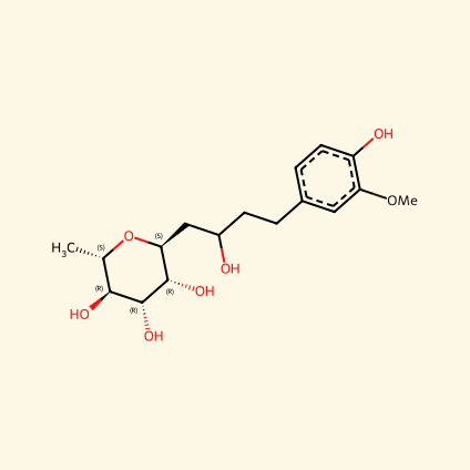 COc1cc(CCC(O)C[C@@H]2O[C@@H](C)[C@H](O)[C@@H](O)[C@H]2O)ccc1O